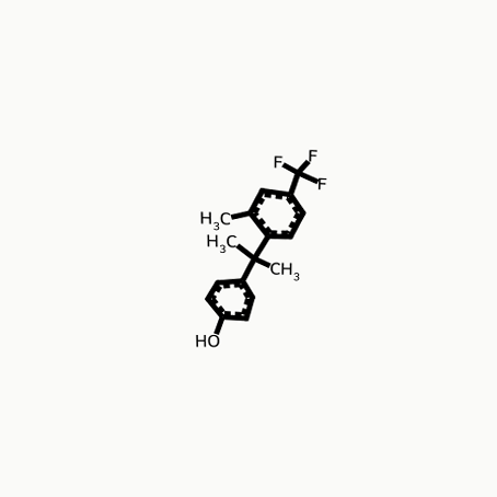 Cc1cc(C(F)(F)F)ccc1C(C)(C)c1ccc(O)cc1